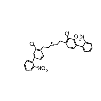 O=[N+]([O-])c1ccccc1-c1ccc(CCSCCc2ccc(-c3ccccc3[N+](=O)[O-])cc2Cl)c(Cl)c1